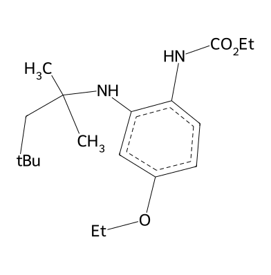 CCOC(=O)Nc1ccc(OCC)cc1NC(C)(C)CC(C)(C)C